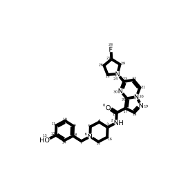 O=C(NC1CCN(Cc2cccc(O)c2)CC1)c1cnn2ccc(N3CCC(F)C3)nc12